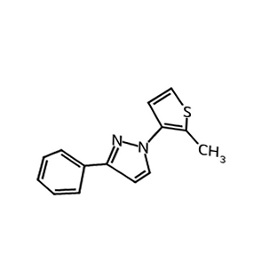 Cc1sccc1-n1ccc(-c2ccccc2)n1